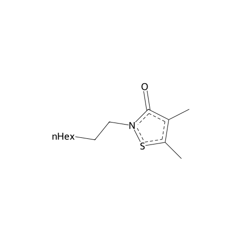 CCCCCCCCn1sc(C)c(C)c1=O